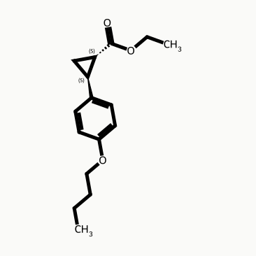 CCCCOc1ccc([C@H]2C[C@@H]2C(=O)OCC)cc1